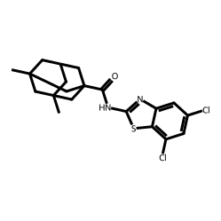 CC12CC3CC(C)(C1)CC(C(=O)Nc1nc4cc(Cl)cc(Cl)c4s1)(C3)C2